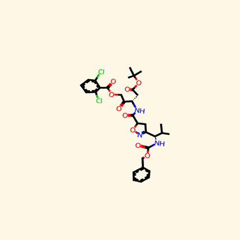 CC(C)[C@H](NC(=O)OCc1ccccc1)C1=NOC(C(=O)N[C@@H](CC(=O)OC(C)(C)C)C(=O)COC(=O)c2c(Cl)cccc2Cl)C1